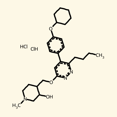 CCCCc1nnc(OCC2CCN(C)CC2O)cc1-c1ccc(OC2CCCCC2)cc1.Cl.Cl